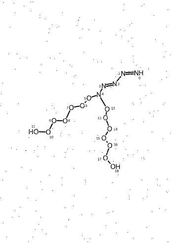 N=N/N=N/N(OOOOOOO)OOOOOOO